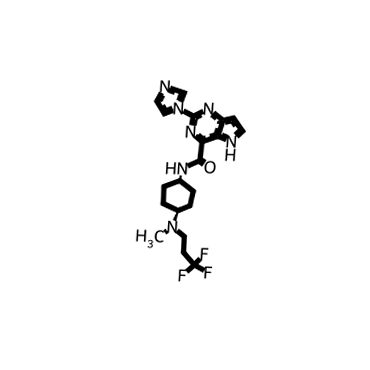 CN(CCC(F)(F)F)[C@H]1CC[C@H](NC(=O)c2nc(-n3ccnc3)nc3cc[nH]c23)CC1